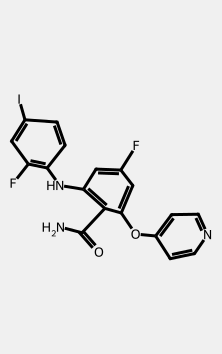 NC(=O)c1c(Nc2ccc(I)cc2F)cc(F)cc1Oc1ccncc1